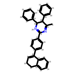 CC1=NC(c2ccc(C3=CCCc4ccccc43)cc2)=NC(c2ccccc2)C1c1ccccc1